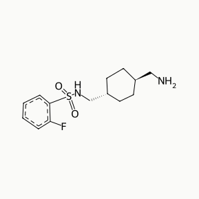 NC[C@H]1CC[C@H](CNS(=O)(=O)c2ccccc2F)CC1